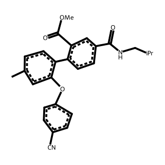 COC(=O)c1cc(C(=O)NCC(C)C)ccc1-c1ccc(C)cc1Oc1ccc(C#N)cc1